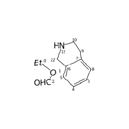 CCOC=O.c1ccc2c(c1)CCNC2